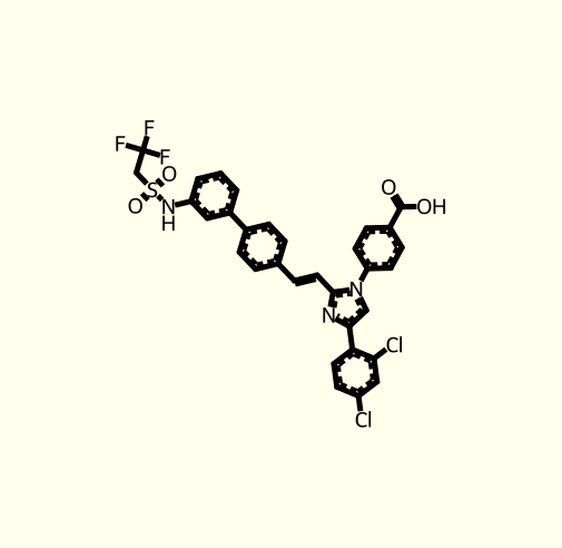 O=C(O)c1ccc(-n2cc(-c3ccc(Cl)cc3Cl)nc2C=Cc2ccc(-c3cccc(NS(=O)(=O)CC(F)(F)F)c3)cc2)cc1